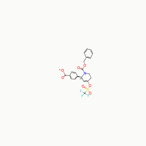 COC(=O)c1ccc([C@@H]2C=C(OS(=O)(=O)C(F)(F)F)CCN2C(=O)OCc2ccccc2)cc1